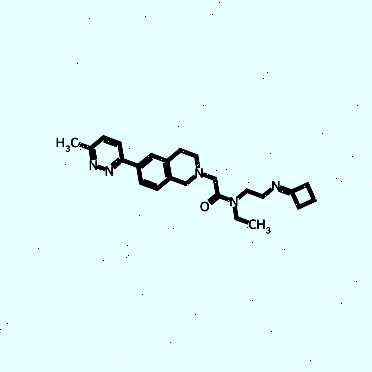 CCN(CCN=C1CCC1)C(=O)CN1CCc2cc(-c3ccc(C)nn3)ccc2C1